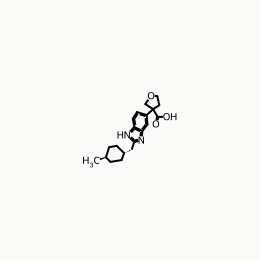 C[C@H]1CC[C@H](Cc2nc3cc(C4(C(=O)O)CCOC4)ccc3[nH]2)CC1